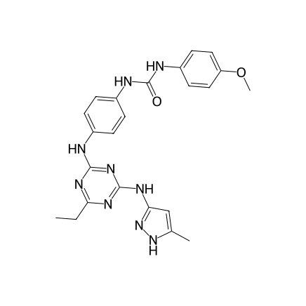 CCc1nc(Nc2ccc(NC(=O)Nc3ccc(OC)cc3)cc2)nc(Nc2cc(C)[nH]n2)n1